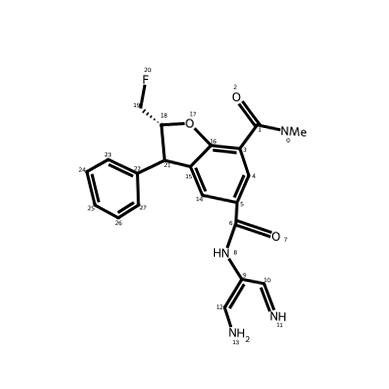 CNC(=O)c1cc(C(=O)N/C(C=N)=C/N)cc2c1O[C@@H](CF)C2c1ccccc1